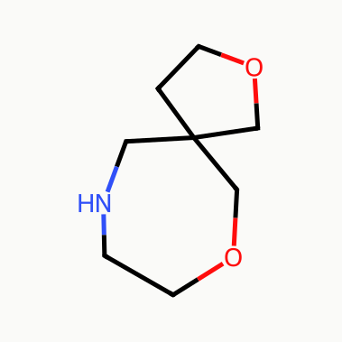 C1COCC2(CCOC2)CN1